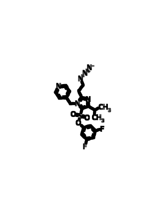 CC(C)c1nc(CCN=[N+]=[N-])n(Cc2ccncc2)c1S(=O)(=O)Oc1cc(F)cc(F)c1